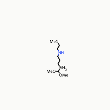 CNCCNCCC[SiH2]C(OC)OC